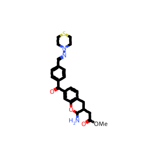 COC(=O)CC1Cc2ccc(C(=O)c3ccc(C=NN4CCSCC4)cc3)cc2OC1N